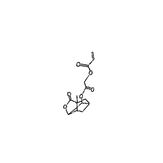 C=CC(=O)OCC(=O)OC1C2CC3C1OC(=O)C3(C)C2